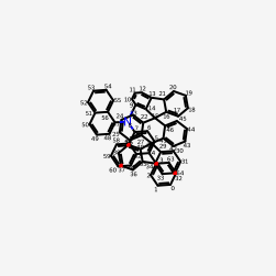 c1ccc(-c2ccc(N(c3cccc4c3C3(c5ccccc5-4)c4ccccc4C4(c5ccccc5-c5ccccc54)c4ccccc43)c3cccc4ccccc34)c3ccccc23)cc1